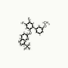 COc1cccc(-c2cc(F)c(F)cc2Oc2ccc3nnc(C(F)(F)F)n3n2)c1